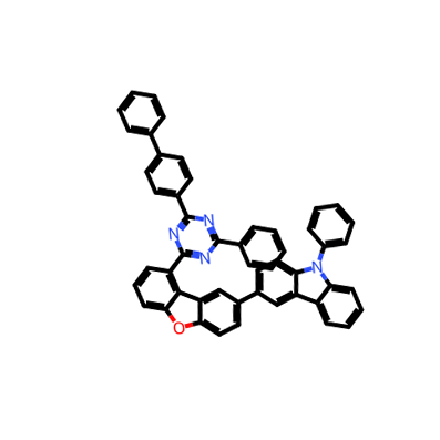 c1ccc(-c2ccc(-c3nc(-c4ccccc4)nc(-c4cccc5oc6ccc(-c7ccc8c(c7)c7ccccc7n8-c7ccccc7)cc6c45)n3)cc2)cc1